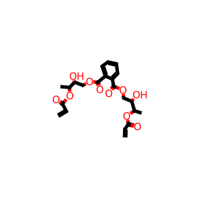 C=CC(=O)OC(C)C(O)COC(=O)c1ccccc1C(=O)OCC(O)C(C)OC(=O)C=C